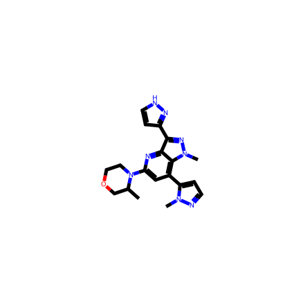 CC1COCCN1c1cc(-c2ccnn2C)c2c(n1)c(-c1cc[nH]n1)nn2C